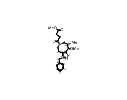 COC(=O)CCC(=O)N1CCc2c(nnn2Cc2ccccc2)[C@H](OC)[C@@H](OC)C1